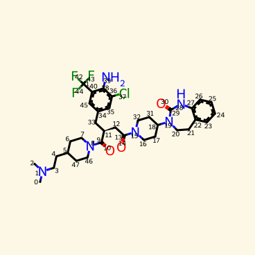 CN(C)CCC1CCN(C(=O)[C@H](CC(=O)N2CCC(N3CCc4ccccc4NC3=O)CC2)Cc2cc(Cl)c(N)c(C(F)(F)F)c2)CC1